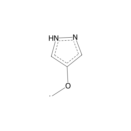 [CH2]Oc1cn[nH]c1